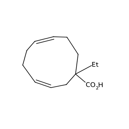 CCC1(C(=O)O)C/C=C\CC/C=C\CC1